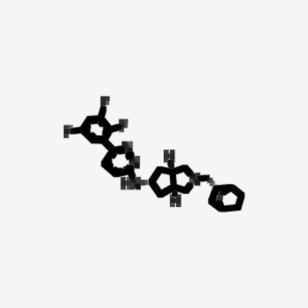 Fc1cc(F)c(F)c(-c2ccc(N[C@@H]3C[C@@H]4CN(C[C@H]5CC6CCC5O6)C[C@@H]4C3)nn2)c1